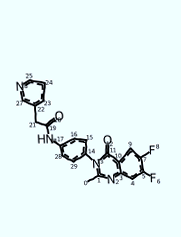 Cc1nc2cc(F)c(F)cc2c(=O)n1-c1ccc(NC(=O)Cc2cccnc2)cc1